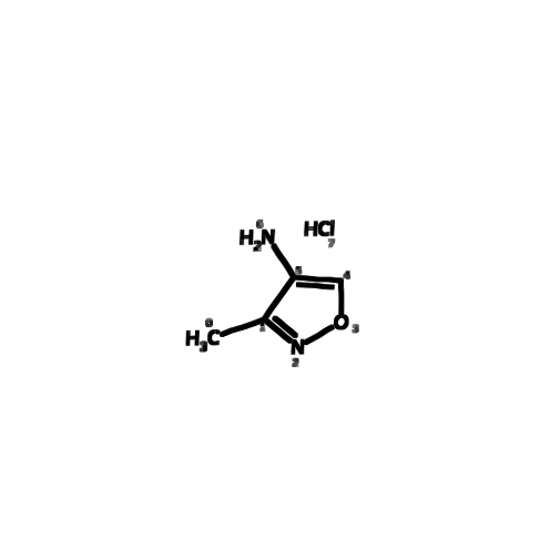 Cc1nocc1N.Cl